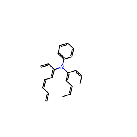 C=C/C=C\C=C(/C=C)N(C(/C=C\C)=C/C=C\C)c1ccccc1